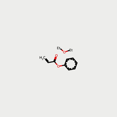 C=CC(=O)Oc1ccccc1.CCOCC